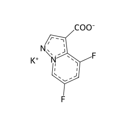 O=C([O-])c1cnn2cc(F)cc(F)c12.[K+]